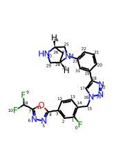 Fc1cc(-c2nnc(C(F)F)o2)ccc1Cn1cc(-c2cccc(N3C[C@@H]4C[C@H]3CN4)c2)nn1